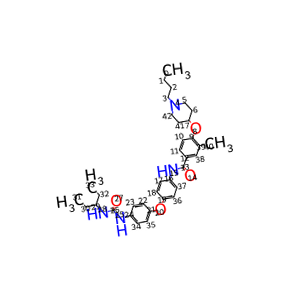 CCCCN1CCC(Oc2ccc(C(=O)Nc3ccc(Oc4ccc(NC(=O)NC(CC)CC)cc4)cc3)cc2C)CC1